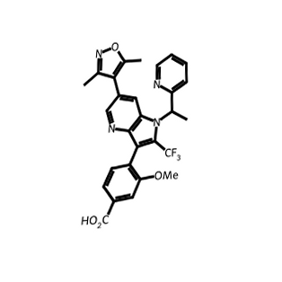 COc1cc(C(=O)O)ccc1-c1c(C(F)(F)F)n(C(C)c2ccccn2)c2cc(-c3c(C)noc3C)cnc12